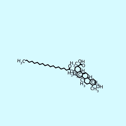 CCCCCCCCCCCCCCCCCC(=O)O[C@H]1CC(C)(C(=O)O)C[C@@H]2C3=CC[C@@H]4[C@@]5(C)CC[C@@H](O)[C@@H](C)C5CC[C@@]4(C)[C@]3(C)CC[C@@]12C